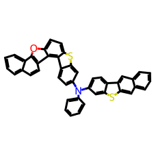 c1ccc(N(c2ccc3c(c2)sc2cc4ccccc4cc23)c2ccc3c(c2)sc2ccc4oc5c6ccccc6ccc5c4c23)cc1